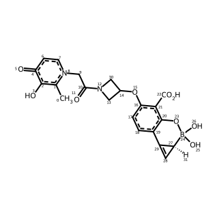 Cc1c(O)c(=O)ccn1CC(=O)N1CC(Oc2ccc3c(c2C(=O)O)O[B-](O)(O)[C@H]2C=C32)C1